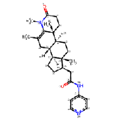 CC1=C2N(C)C(=O)CC[C@]2(C)[C@H]2CC[C@]3(C)[C@@H](CC(=O)Nc4ccncc4)CC[C@H]3[C@@H]2C1